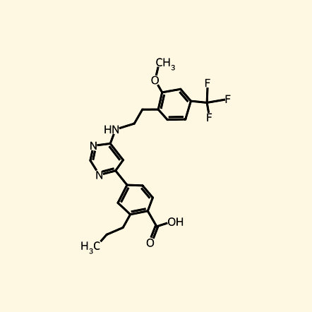 CCCc1cc(-c2cc(NCCc3ccc(C(F)(F)F)cc3OC)ncn2)ccc1C(=O)O